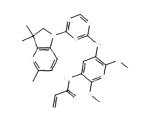 C=CC(=O)Nc1cc(Nc2ncnc(N3CC(C)(C)c4nc(C)ccc43)n2)c(OC)nc1NC